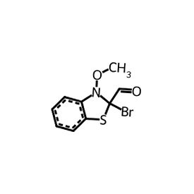 CON1c2ccccc2SC1(Br)C=O